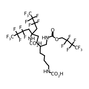 O=C(O)NCCCCC(CCC(CC(F)(F)C(F)(F)C(F)(F)F)(CC(F)(F)C(F)(F)C(F)(F)F)NC(=O)O)CNC(=O)OCC(F)(F)C(F)(F)C(F)(F)F